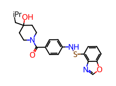 CC(C)CC1(O)CCN(C(=O)c2ccc(NSc3cccc4ocnc34)cc2)CC1